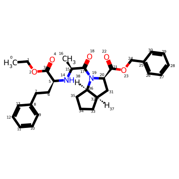 CCOC(=O)[C@H](CCc1ccccc1)N[C@@H](C)C(=O)N1[C@@H](C(=O)OCc2ccccc2)C[C@H]2CCC[C@H]21